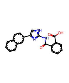 O=C(O)c1ccccc1C(=O)Nc1nc(-c2ccc3ccccc3c2)c[nH]1